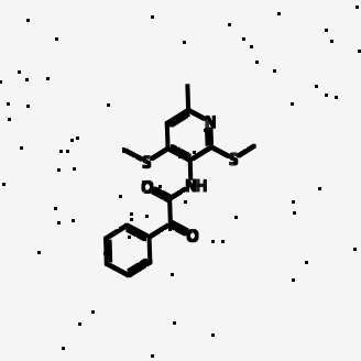 CSc1cc(C)nc(SC)c1NC(=O)C(=O)c1ccccc1